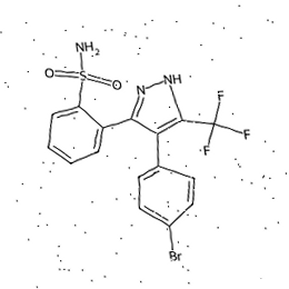 NS(=O)(=O)c1ccccc1-c1n[nH]c(C(F)(F)F)c1-c1ccc(Br)cc1